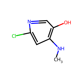 CNc1cc(Cl)ncc1O